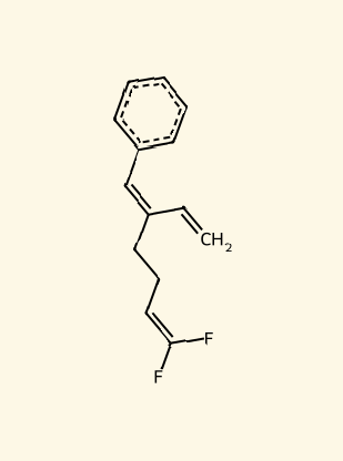 C=C/C(=C\c1ccccc1)CCC=C(F)F